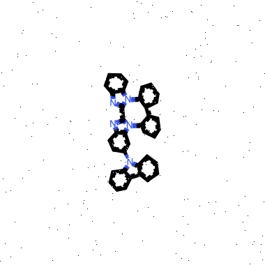 c1ccc2c(c1)nc1c3nc4ccc(-n5c6ccccc6c6ccccc65)cc4n3c3ccccc3c3ccccc3n21